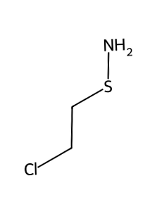 NSCCCl